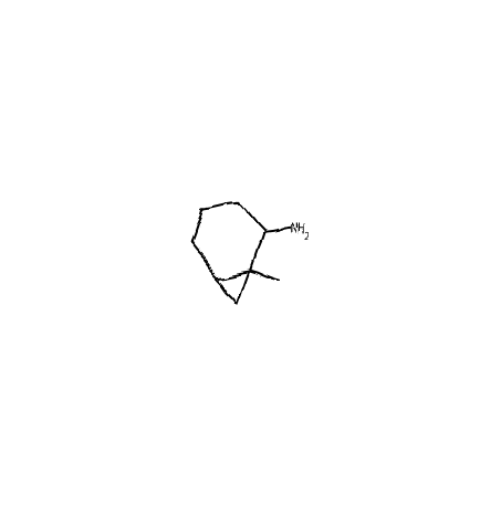 CC12CC1CCCC2N